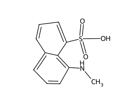 CNc1cccc2cccc(S(=O)(=O)O)c12